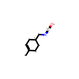 CC1=CCC(CN=C=O)CC1